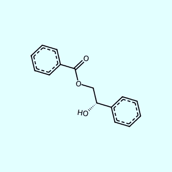 O=C(OC[C@@H](O)c1ccccc1)c1ccccc1